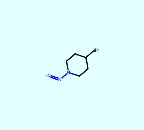 CC(C)C1CCN(N=N)CC1